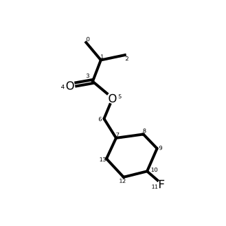 CC(C)C(=O)OCC1CCC(F)CC1